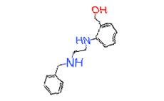 OCc1ccccc1NCCNCc1ccccc1